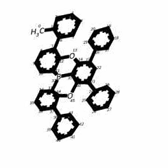 Cc1ccccc1-c1cccc2c1Oc1c(-c3ccccc3)cc(-c3ccccc3)c3c1B2c1cccc(-c2ccccc2)c1O3